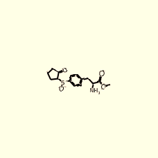 COC(=O)C(N)Cc1ccc([S+]([O-])C2CCCC2=O)cc1